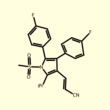 CC(C)c1c(/C=C/C#N)c(-c2ccc(F)cc2)c(-c2ccc(F)cc2)n1S(C)(=O)=O